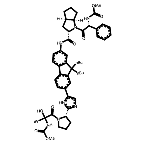 CCCCC1(CCCC)c2cc(NC(=O)[C@@H]3C[C@H]4CCC[C@H]4N3C(=O)[C@H](NC(=O)OC)c3ccccc3)ccc2-c2ccc(-c3cnc([C@@H]4CCCN4C(=O)C(O)(NC(=O)OC)C(C)C)[nH]3)cc21